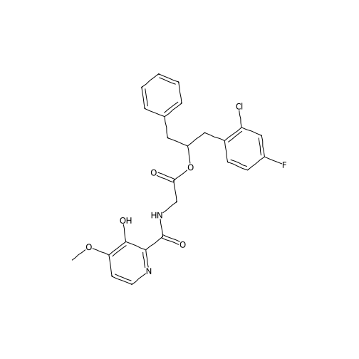 COc1ccnc(C(=O)NCC(=O)OC(Cc2ccccc2)Cc2ccc(F)cc2Cl)c1O